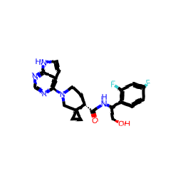 O=C(NC(CO)c1ccc(F)cc1F)[C@H]1CCN(c2ncnc3[nH]ccc23)CC12CC2